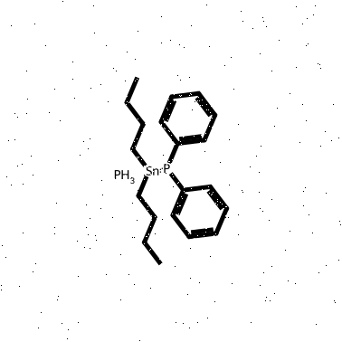 CCC[CH2][Sn][CH2]CCC.P.c1ccc([P]c2ccccc2)cc1